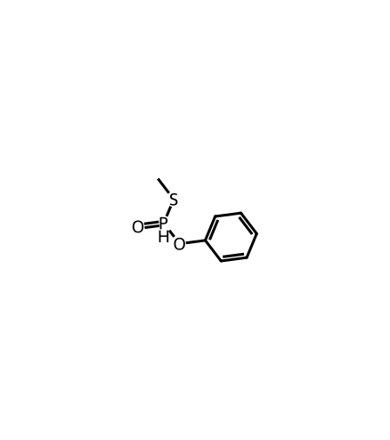 CS[PH](=O)Oc1ccccc1